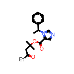 CCC(=O)CC(C)(C)OC(=O)c1cncn1C(C)c1ccccc1